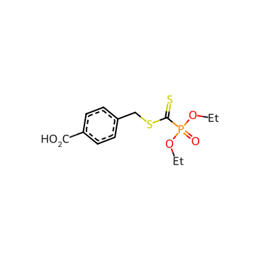 CCOP(=O)(OCC)C(=S)SCc1ccc(C(=O)O)cc1